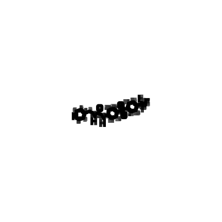 O=C(NCc1ccncc1)Nc1ccc(S(=O)(=O)c2ccc(C(F)(F)F)cc2)cc1